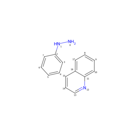 NNc1ccccc1.c1ccc2ncccc2c1